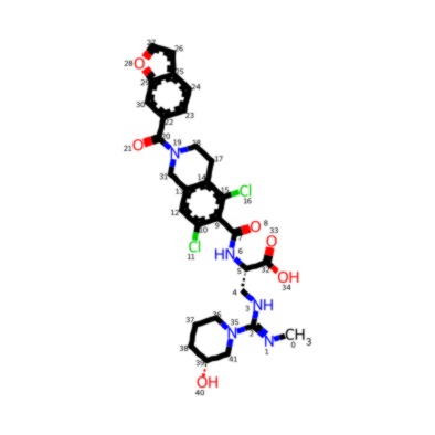 C/N=C(\NC[C@H](NC(=O)c1c(Cl)cc2c(c1Cl)CCN(C(=O)c1ccc3ccoc3c1)C2)C(=O)O)N1CCC[C@@H](O)C1